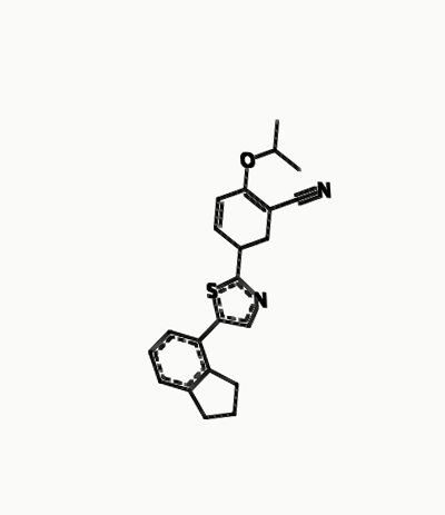 CC(C)OC1=C(C#N)CC(c2ncc(-c3cccc4c3CCC4)s2)C=C1